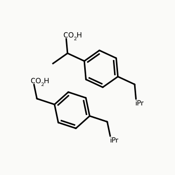 CC(C)Cc1ccc(C(C)C(=O)O)cc1.CC(C)Cc1ccc(CC(=O)O)cc1